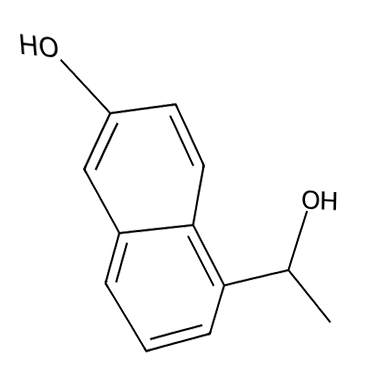 CC(O)c1cccc2cc(O)ccc12